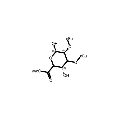 CCCCOC1[C@H](O)C(C(=O)OC)O[C@@H](O)[C@H]1OCCCC